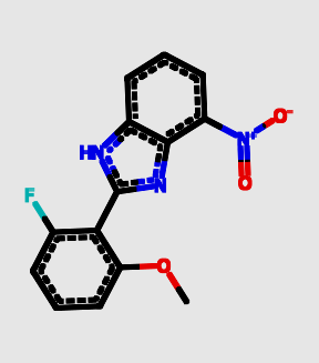 COc1cccc(F)c1-c1nc2c([N+](=O)[O-])cccc2[nH]1